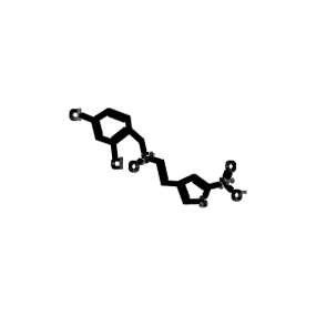 O=[N+]([O-])c1cc(C=C[S+]([O-])Cc2ccc(Cl)cc2Cl)cs1